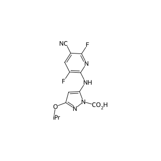 CC(C)Oc1cc(Nc2nc(F)c(C#N)cc2F)n(C(=O)O)n1